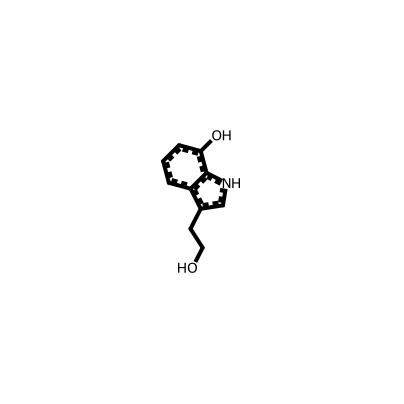 OCCc1c[nH]c2c(O)cccc12